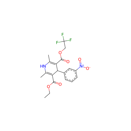 CCOC(=O)C1=C(C)NC(C)=C(C(=O)OCC(F)(F)F)C1c1cccc([N+](=O)[O-])c1